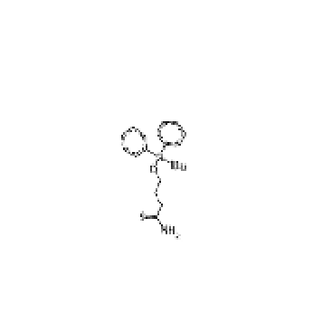 CC(C)(C)[Si](OCCCC(N)=S)(c1ccccc1)c1ccccc1